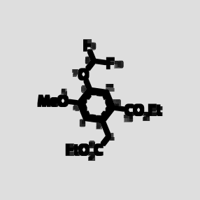 CCOC(=O)Cc1cc(OC)c(OC(F)F)cc1C(=O)OCC